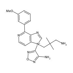 COc1cccc(-c2nccc3c2N=C[N+]3(CC(C)(C)CN)c2nonc2N)c1